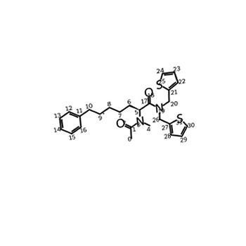 CC(=O)N(C)[C@@H](CCC[CH]Cc1ccccc1)C(=O)N(Cc1cccs1)Cc1cccs1